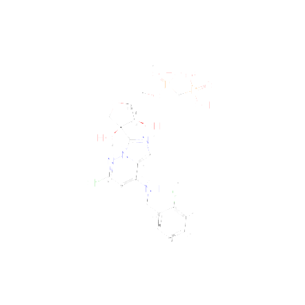 O=P(O)(O)CP(=O)(O)OC[C@H]1OC[C@@](O)(c2ncc3c(NCc4ccccc4Cl)cc(Cl)nn23)[C@@H]1O